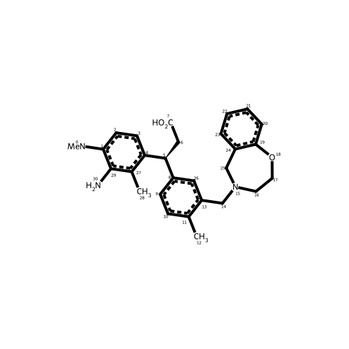 CNc1ccc([C@@H](CC(=O)O)c2ccc(C)c(CN3CCOc4ccccc4C3)c2)c(C)c1N